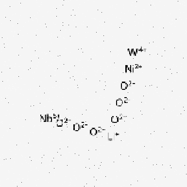 [Li+].[Nb+5].[Ni+2].[O-2].[O-2].[O-2].[O-2].[O-2].[O-2].[W+4]